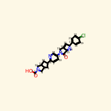 O=C(O)N1CC2CC(c3ccc(N4CC5=CC(c6ccc(Cl)cc6)N=C5C4=O)cn3)CC2C1